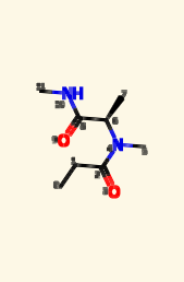 CCC(=O)N(C)[C@H](C)C(=O)NC